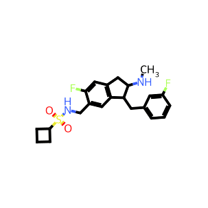 CNC1Cc2cc(F)c(CNS(=O)(=O)C3CCC3)cc2C1Cc1cccc(F)c1